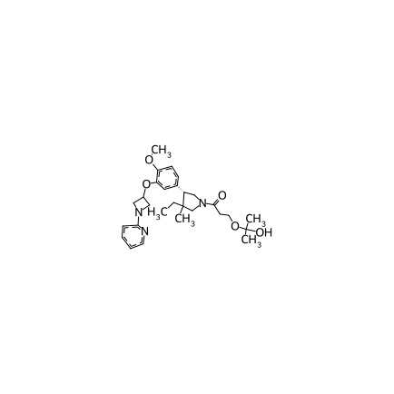 CCC1(C)CN(C(=O)CCOC(C)(C)O)C[C@H]1c1ccc(OC)c(OC2CN(c3ccccn3)C2)c1